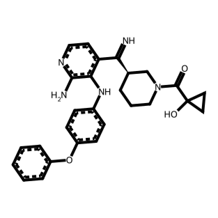 N=C(c1ccnc(N)c1Nc1ccc(Oc2ccccc2)cc1)[C@@H]1CCCN(C(=O)C2(O)CC2)C1